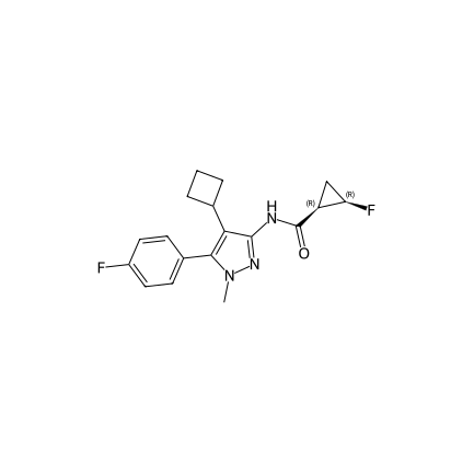 Cn1nc(NC(=O)[C@H]2C[C@H]2F)c(C2CCC2)c1-c1ccc(F)cc1